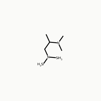 CC(CN([SiH3])[SiH3])N(C)C